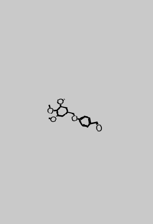 COC1CC(COc2ccc(C=O)cc2)CC(OC)C1OC